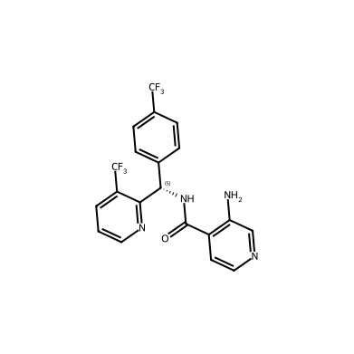 Nc1cnccc1C(=O)N[C@@H](c1ccc(C(F)(F)F)cc1)c1ncccc1C(F)(F)F